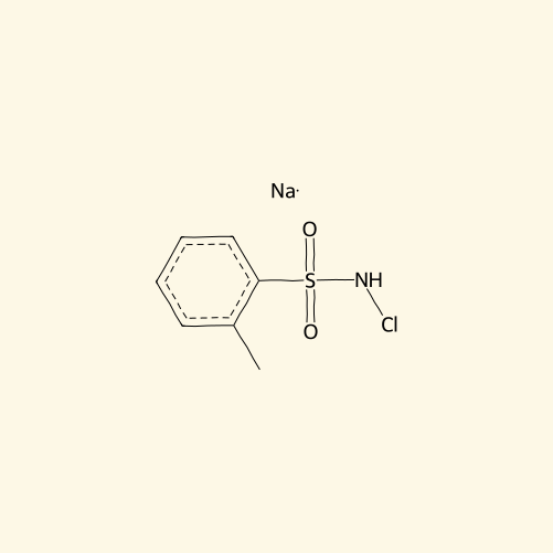 Cc1ccccc1S(=O)(=O)NCl.[Na]